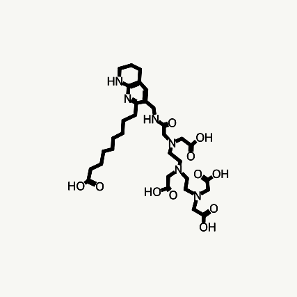 O=C(O)CCCCCCCCc1nc2c(cc1CNC(=O)CN(CCN(CCN(CC(=O)O)CC(=O)O)CC(=O)O)CC(=O)O)CCCN2